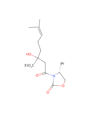 CCOC(=O)C(O)(CCC=C(C)C)CC(=O)N1C(=O)OC[C@H]1C(C)C